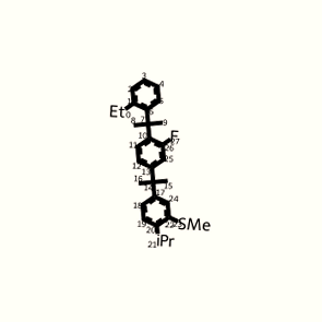 CCc1ccccc1C(C)(C)c1ccc(C(C)(C)c2ccc(C(C)C)c(SC)c2)cc1F